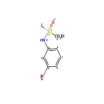 CCOC(=O)[SH](C)(=O)Nc1cccc(Br)c1